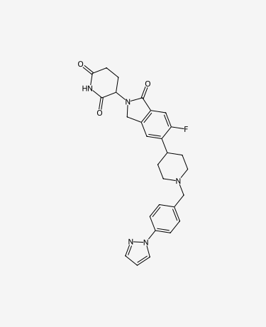 O=C1CCC(N2Cc3cc(C4CCN(Cc5ccc(-n6cccn6)cc5)CC4)c(F)cc3C2=O)C(=O)N1